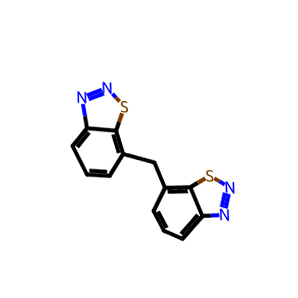 c1cc(Cc2cccc3nnsc23)c2snnc2c1